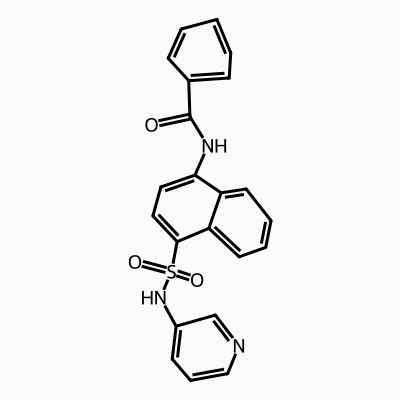 O=C(Nc1ccc(S(=O)(=O)Nc2cccnc2)c2ccccc12)c1ccccc1